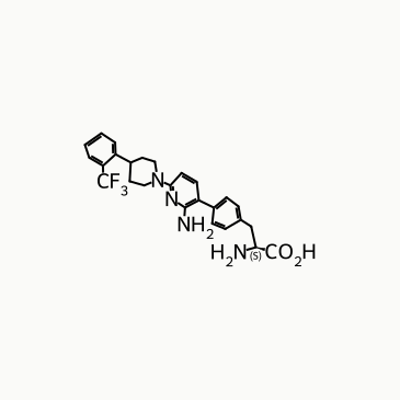 Nc1nc(N2CCC(c3ccccc3C(F)(F)F)CC2)ccc1-c1ccc(C[C@H](N)C(=O)O)cc1